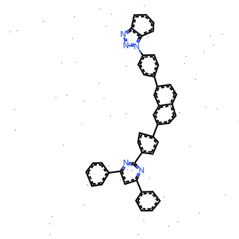 c1ccc(-c2cc(-c3ccccc3)nc(-c3ccc(-c4ccc5ccc(-c6ccc(-n7nnc8ccccc87)cc6)cc5c4)cc3)n2)cc1